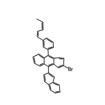 C/C=C\C=C/c1cccc(-c2c3ccccc3c(-c3ccc4ccccc4c3)c3cc(Br)ccc23)c1